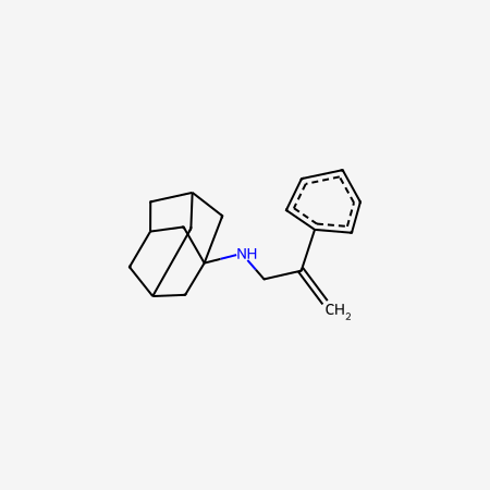 C=C(CNC12CC3CC(CC(C3)C1)C2)c1ccccc1